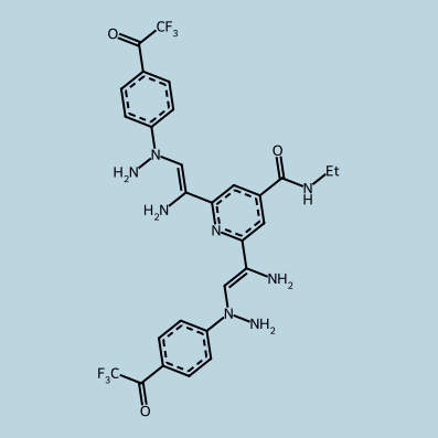 CCNC(=O)c1cc(/C(N)=C/N(N)c2ccc(C(=O)C(F)(F)F)cc2)nc(/C(N)=C/N(N)c2ccc(C(=O)C(F)(F)F)cc2)c1